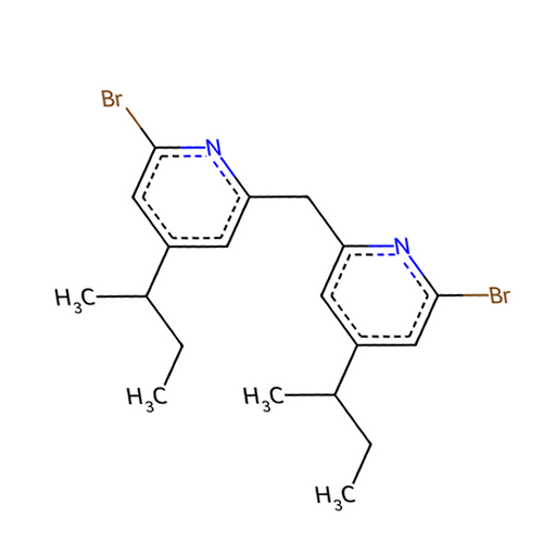 CCC(C)c1cc(Br)nc(Cc2cc(C(C)CC)cc(Br)n2)c1